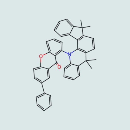 CC1(C)c2ccccc2-c2c1ccc1c2N(c2cccc3oc4ccc(-c5ccccc5)cc4c(=O)c23)c2ccccc2C1(C)C